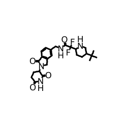 CC(C)(C)C1CCC(C(F)(F)C(=O)NCc2ccc3c(c2)CN(C2CCC(=O)NC2=O)C3=O)NC1